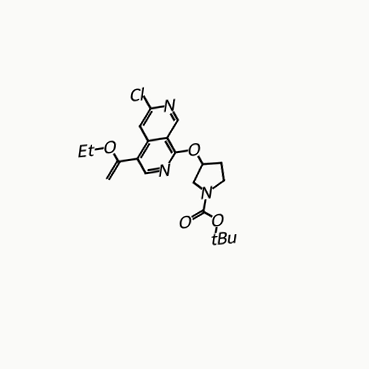 C=C(OCC)c1cnc(OC2CCN(C(=O)OC(C)(C)C)C2)c2cnc(Cl)cc12